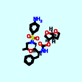 CC1CN(S(=O)(=O)c2ccc(N)cc2)C[C@H]([C@H](Cc2ccccc2)NC(=O)O[C@H]2CO[C@H]3OCC[C@H]32)O1